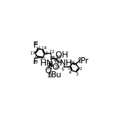 CC(C)c1cccc(CNC[C@@H](O)[C@H](Cc2cc(F)cc(F)c2)NC(=O)OC(C)(C)C)c1